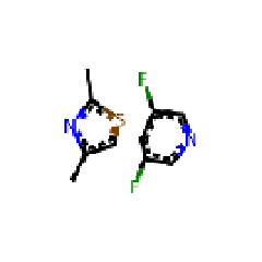 Cc1csc(C)n1.Fc1cncc(F)c1